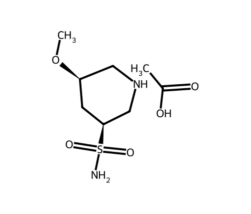 CC(=O)O.CO[C@H]1CNC[C@@H](S(N)(=O)=O)C1